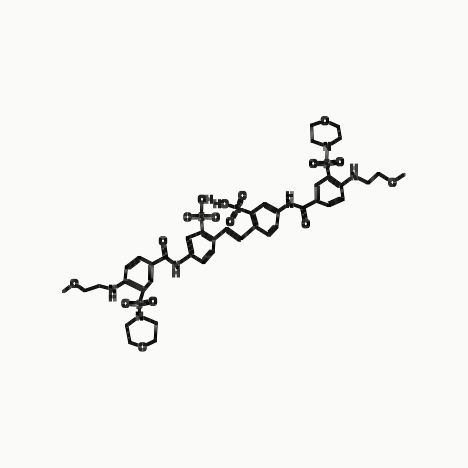 COCCNc1ccc(C(=O)Nc2ccc(C=Cc3ccc(NC(=O)c4ccc(NCCOC)c(S(=O)(=O)N5CCOCC5)c4)cc3S(=O)(=O)O)c(S(=O)(=O)O)c2)cc1S(=O)(=O)N1CCOCC1